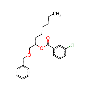 CCCCCCC(COCc1ccccc1)OC(=O)c1cccc(Cl)c1